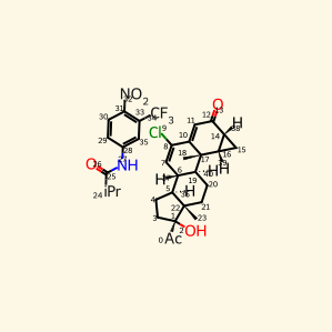 CC(=O)[C@@]1(O)CC[C@H]2[C@@H]3C=C(Cl)C4=CC(=O)[C@@H]5C[C@@H]5[C@]4(C)[C@H]3CC[C@@]21C.CC(C)C(=O)Nc1ccc([N+](=O)[O-])c(C(F)(F)F)c1